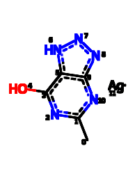 Cc1nc(O)c2[nH]nnc2n1.[Ag]